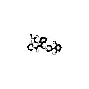 CNC(=O)Cn1c(C(=O)N2CCCCC2)c(CN2CCC(c3c(Cl)cccc3Cl)CC2)c2ccccc21